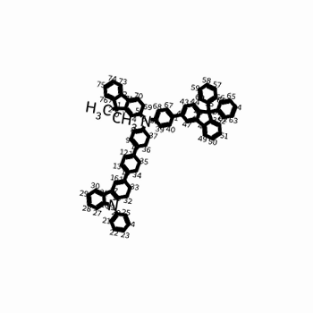 CC1(C)C2=CC(N(C3=CC=C(C4=CC=C(C5=Cc6c(n(-c7ccccc7)c7ccccc67)CC5)CC4)CC3)c3ccc(-c4ccc5c(c4)-c4ccccc4C5(c4ccccc4)c4ccccc4)cc3)CC=C2c2ccccc21